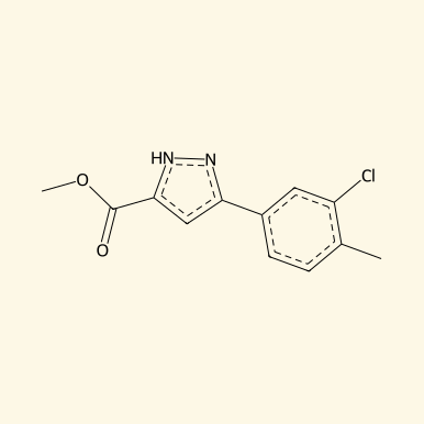 COC(=O)c1cc(-c2ccc(C)c(Cl)c2)n[nH]1